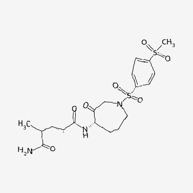 CC(C[CH]C(=O)N[C@H]1CCCN(S(=O)(=O)c2ccc(S(C)(=O)=O)cc2)CC1=O)C(N)=O